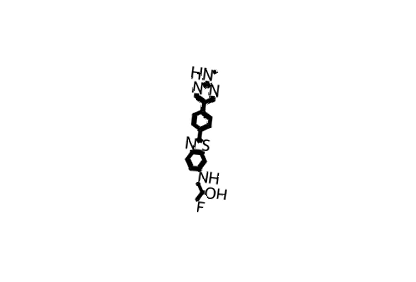 CNc1ncc(-c2ccc(-c3nc4ccc(NCC(O)CF)cc4s3)cc2)cn1